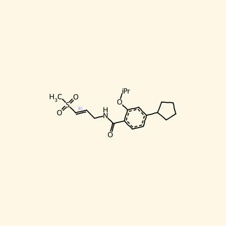 CC(C)Oc1cc(C2CCCC2)ccc1C(=O)NC/C=C/S(C)(=O)=O